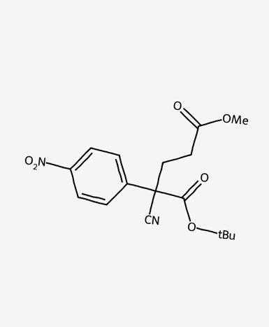 COC(=O)CCC(C#N)(C(=O)OC(C)(C)C)c1ccc([N+](=O)[O-])cc1